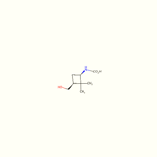 CC1(C)[C@@H](CO)C[C@H]1NC(=O)O